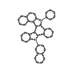 c1ccc(-n2c3ccc4ccccc4c3c3c4c5ccccc5n(-c5ccc6ccccc6c5)c4c4ccccc4c32)cc1